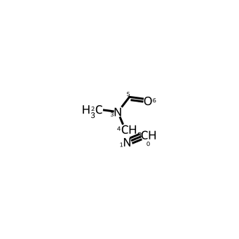 C#N.CN(C)C=O